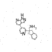 NCC1(c2cc(-c3ccnc4[nH]ncc34)ccn2)Cc2ccccc2C1